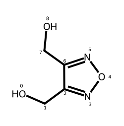 OCc1nonc1CO